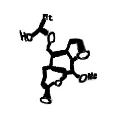 CCC(O)OCc1c2ccoc2c(OC)c2oc(=O)ccc12